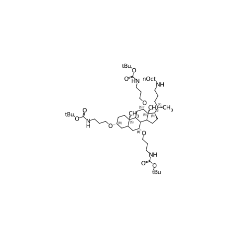 CCCCCCCCNCCC[C@@H](C)[C@H]1CCC2C3C(C[C@H](OCCCNC(=O)OC(C)(C)C)[C@@]21C)[C@@]1(C)CC[C@@H](OCCCNC(=O)OC(C)(C)C)CC1C[C@H]3OCCCNC(=O)OC(C)(C)C